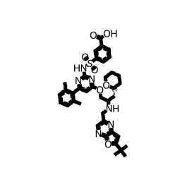 Cc1cccc(C)c1-c1cc(OCC(C[C@H]2CCCCO2)NCc2cnc3oc(C(C)(C)C)cc3n2)nc(NS(=O)(=O)c2cccc(C(=O)O)c2)n1